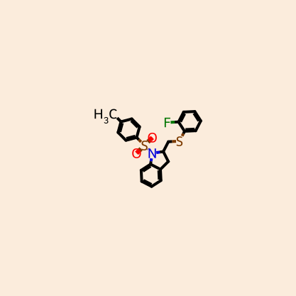 Cc1ccc(S(=O)(=O)N2c3ccccc3CC2CSc2ccccc2F)cc1